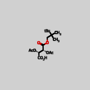 CC(=O)O[C@@H](C(=O)O)[C@@H](OC(C)=O)C(=O)OCC(C)(C)C(C)(C)C